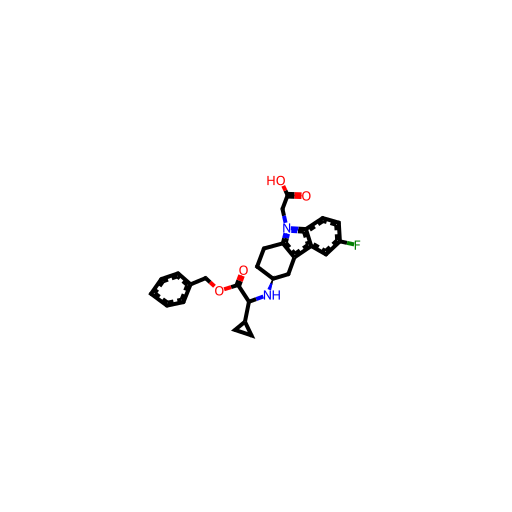 O=C(O)Cn1c2c(c3cc(F)ccc31)C[C@@H](NC(C(=O)OCc1ccccc1)C1CC1)CC2